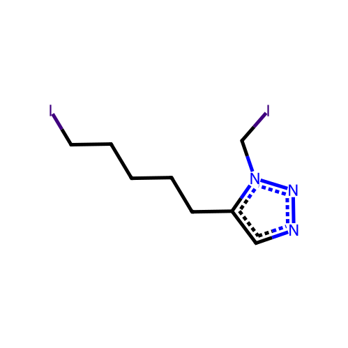 ICCCCCc1cnnn1CI